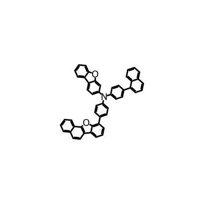 c1ccc2c(-c3ccc(N(c4ccc(-c5cccc6c5oc5c7ccccc7ccc65)cc4)c4ccc5c(c4)oc4ccccc45)cc3)cccc2c1